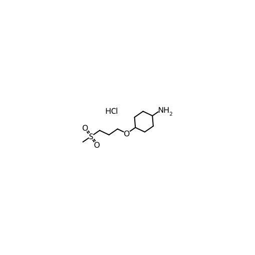 CS(=O)(=O)CCCOC1CCC(N)CC1.Cl